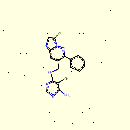 N#Cc1c(N)ncnc1NCc1cc2ncc(Cl)n2nc1-c1ccccc1